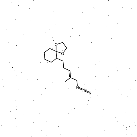 C/C(=C\CCC1CCCCC12OCCO2)CN=[N+]=[N-]